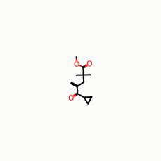 C=C(CC(C)(C)C(=O)OC)C(=O)C1CC1